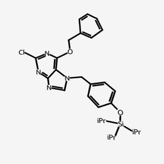 CC(C)[Si](Oc1ccc(Cn2cnc3nc(Cl)nc(OCc4ccccc4)c32)cc1)(C(C)C)C(C)C